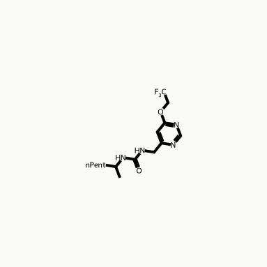 CCCCCC(C)NC(=O)NCc1cc(OCC(F)(F)F)ncn1